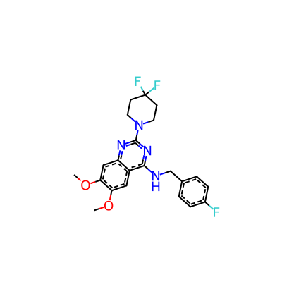 COc1cc2nc(N3CCC(F)(F)CC3)nc(NCc3ccc(F)cc3)c2cc1OC